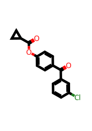 O=C(c1ccc(OC(=O)C2CC2)cc1)c1cccc(Cl)c1